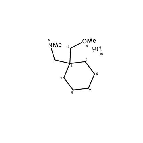 CNCC1(COC)CCCCC1.Cl